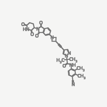 Cc1c(C#N)ccc(NC(=O)C(C)(C)n2cc(C#CC3CN(c4ccc5c(c4)C(=O)N(C4CCC(=O)NC4=O)C5=O)C3)cn2)c1C